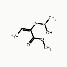 C/C=C(/NB(C)O)C(=O)OC